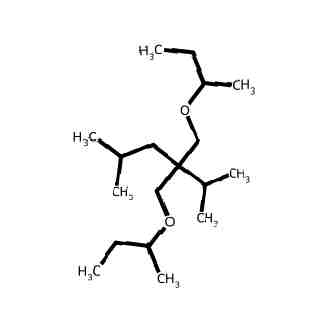 CCC(C)OCC(COC(C)CC)(CC(C)C)C(C)C